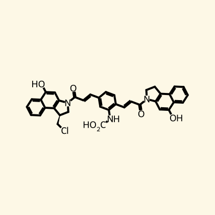 O=C(O)Nc1cc(/C=C/C(=O)N2C[C@@H](CCl)c3c2cc(O)c2ccccc32)ccc1/C=C/C(=O)N1CCc2c1cc(O)c1ccccc21